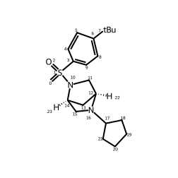 C=S(=O)(c1ccc(C(C)(C)C)cc1)N1C[C@@H]2C[C@H]1CN2C1CCCC1